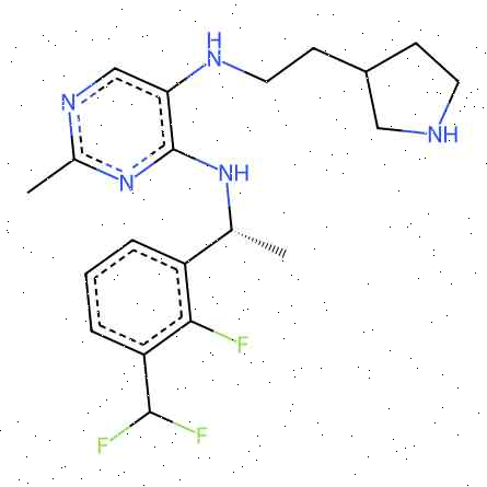 Cc1ncc(NCCC2CCNC2)c(N[C@H](C)c2cccc(C(F)F)c2F)n1